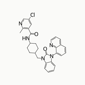 Cc1ncc(Cl)cc1C(=O)NC1CCC(Cn2c(=O)n(-c3cccc4cccnc34)c3ccccc32)CC1